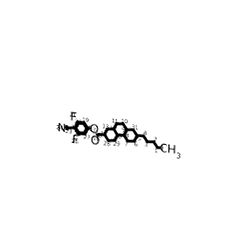 CCCCCC1CCC2C(CCC3CC(C(=O)Oc4cc(F)c(C#N)c(F)c4)CCC32)C1